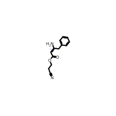 N#CCCOC(=O)/C=C(/N)Cc1ccccc1